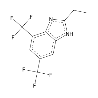 CCc1nc2c(C(F)(F)F)cc(C(F)(F)F)cc2[nH]1